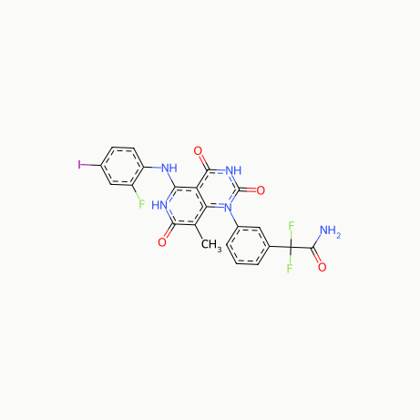 Cc1c(=O)[nH]c(Nc2ccc(I)cc2F)c2c(=O)[nH]c(=O)n(-c3cccc(C(F)(F)C(N)=O)c3)c12